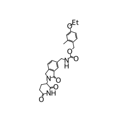 CCOc1ccc(COC(=O)NCc2ccc3c(c2)C(=O)N(C2CCC(=O)NC2=O)C3)c(C)c1